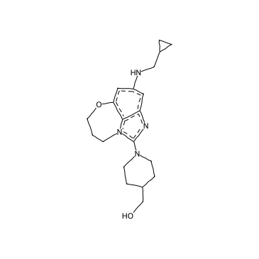 OCC1CCN(c2nc3cc(NCC4CC4)cc4c3n2CCCO4)CC1